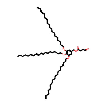 CCCCCCCCCCCCCCCCCCOc1cc(COC(=O)CCC=O)cc(OCCCCCCCCCCCCCCCCCC)c1OCCCCCCCCCCCCCCCCCC